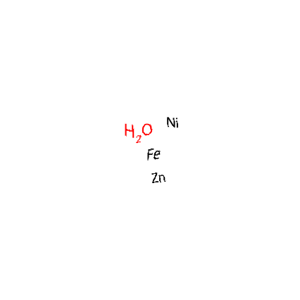 O.[Fe].[Ni].[Zn]